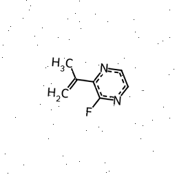 C=C(C)c1nccnc1F